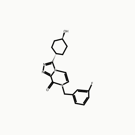 O=c1c2nnc([C@H]3CC[C@H](O)CC3)n2ccn1Cc1cccc(F)c1